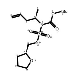 C=CC[C@@H](C)N(C(=O)OC(C)(C)C)S(=O)(=O)NC[C@@H]1CCCO1